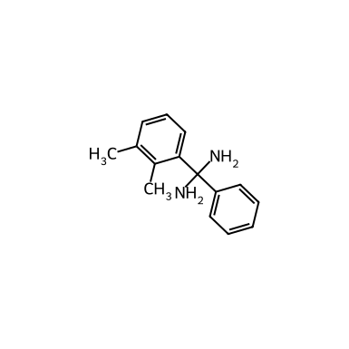 Cc1cccc(C(N)(N)c2ccccc2)c1C